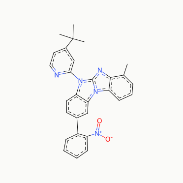 Cc1cccc2c1nc1n(-c3cc(C(C)(C)C)ccn3)c3ccc(-c4ccccc4[N+](=O)[O-])cc3n21